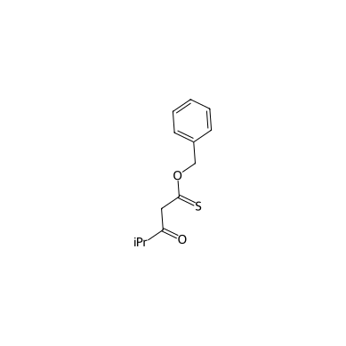 CC(C)C(=O)CC(=S)OCc1ccccc1